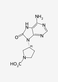 Nc1ncnc2c1[nH]c(=O)n2[C@@H]1CCN(C(=O)O)C1